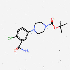 CC(C)(C)OC(=O)N1CCN(c2ccc(Cl)c(C(N)=O)c2)CC1